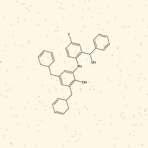 Oc1c(CC2C=CC=CC2)cc(CC2C=CC=CC2)cc1Pc1ccc(F)cc1C(O)c1ccccc1